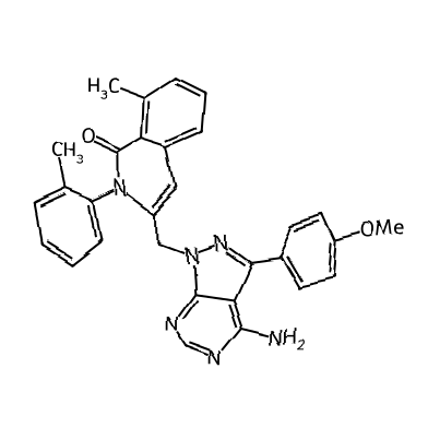 COc1ccc(-c2nn(Cc3cc4cccc(C)c4c(=O)n3-c3ccccc3C)c3ncnc(N)c23)cc1